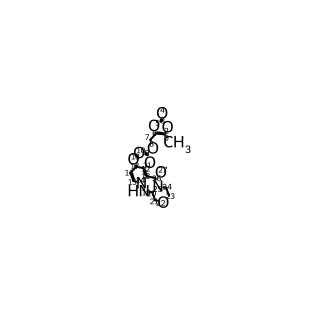 Cc1oc(=O)oc1COC(=O)Oc1c2n(ccc1=O)NC1COCCN1C2=O